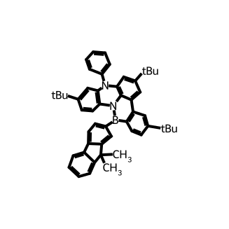 CC(C)(C)c1ccc2c(c1)-c1cc(C(C)(C)C)cc3c1N(B2c1ccc2c(c1)C(C)(C)c1ccccc1-2)c1ccc(C(C)(C)C)cc1N3c1ccccc1